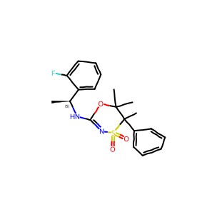 C[C@H](NC1=NS(=O)(=O)C(C)(c2ccccc2)C(C)(C)O1)c1ccccc1F